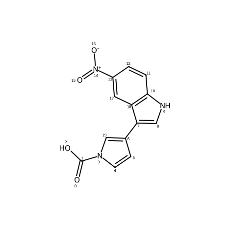 O=C(O)n1ccc(-c2c[nH]c3ccc([N+](=O)[O-])cc23)c1